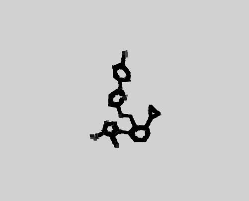 Cn1nnn(-c2cccc(C3CC3)c2COc2ccn(-c3ccc(Cl)cc3)n2)c1=O